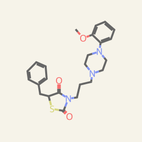 COc1ccccc1N1CCN(CCCN2C(=O)SC(Cc3ccccc3)C2=O)CC1